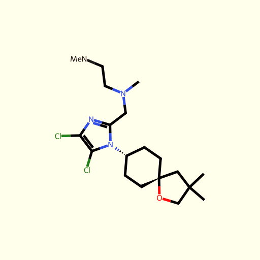 CNCCN(C)Cc1nc(Cl)c(Cl)n1[C@H]1CC[C@@]2(CC1)CC(C)(C)CO2